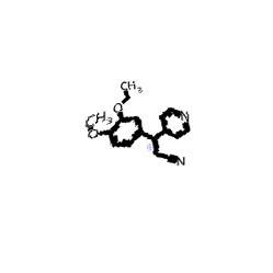 CCOc1cc(/C(=C/C#N)c2ccncc2)ccc1OC